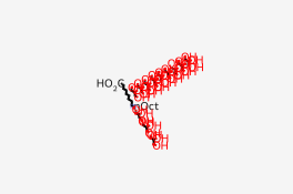 CCCCCCCC/C=C\CCCCCCCC(=O)O.OCC(O)CO.OCC(O)CO.OCC(O)CO.OCC(O)CO.OCC(O)CO.OCC(O)CO.OCC(O)CO.OCC(O)CO.OCC(O)CO.OCC(O)CO.OCC(O)CO.OCC(O)CO